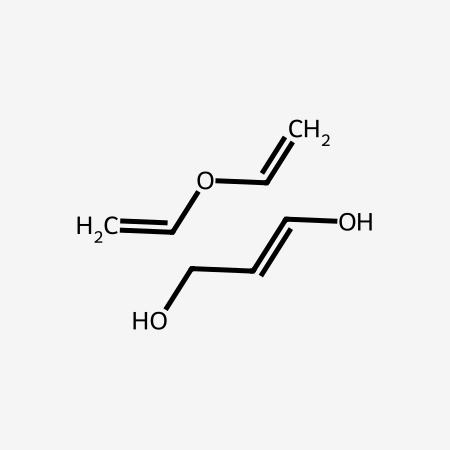 C=COC=C.OC=CCO